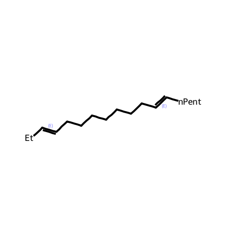 CC/C=C/CCCCCCC/C=C/CCCCC